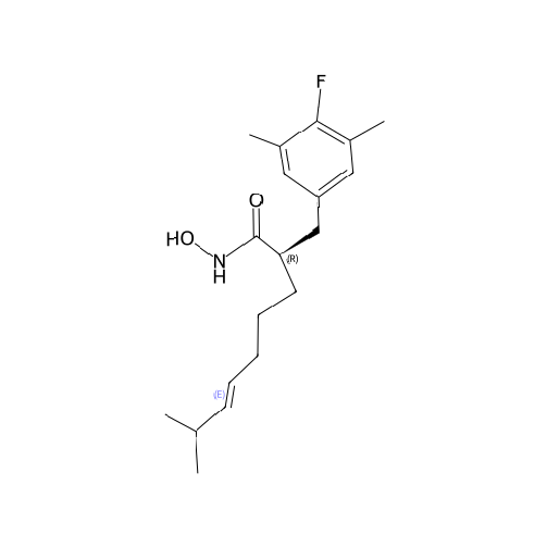 Cc1cc(C[C@@H](CCC/C=C/C(C)C)C(=O)NO)cc(C)c1F